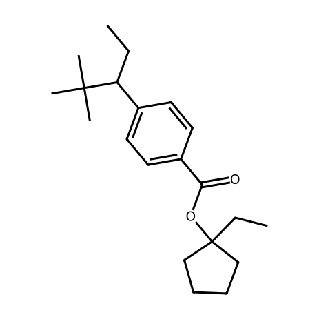 CCC(c1ccc(C(=O)OC2(CC)CCCC2)cc1)C(C)(C)C